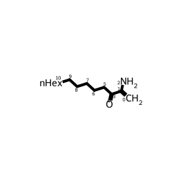 C=C(N)C(=O)CCCCCCCCCCC